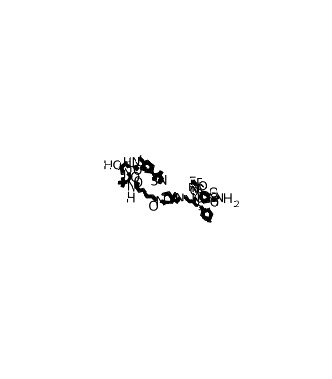 Cc1ncsc1-c1ccc([C@H](C)NC(=O)[C@@H]2C[C@@H](O)CN2C(=O)C(NC(=O)CCCCC(=O)N2CCC3(CC2)CN(CCC(CSc2ccccc2)Nc2ccc(S(N)(=O)=O)cc2S(=O)(=O)C(F)(F)F)C3)C(C)(C)C)cc1